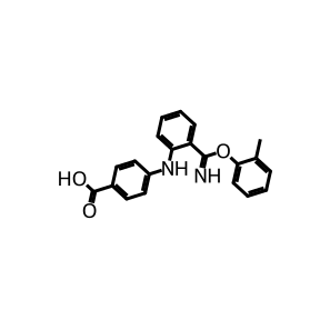 Cc1ccccc1OC(=N)c1ccccc1Nc1ccc(C(=O)O)cc1